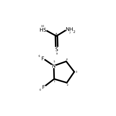 FC1CCCN1F.NC(=S)S